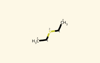 C[C]SCC